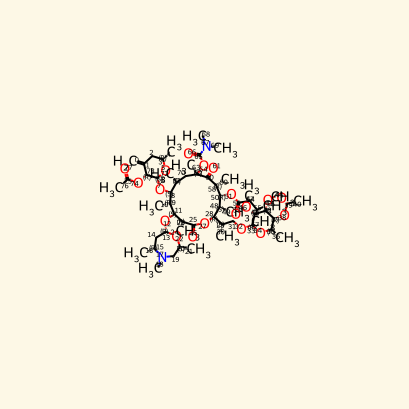 C=C1C[C@@H](C)O[C@@H](O[C@@H]2[C@@H](C)[C@H](O[C@H]3C[C@@H](C)N(C)C[C@H](C)O3)[C@@H](C)C(=O)O[C@H]([C@@H](C)CO[C@@H]3O[C@H](C)[C@@H](OC(C)=O)[C@@H](OC)[C@H]3OC)[C@H](C)[C@@H](OC(=O)CC(C)C)[C@@H](C)C(=O)[C@@](C)(OC(=O)N(C)C)C[C@@H]2C)[C@@H]1OC(C)=O